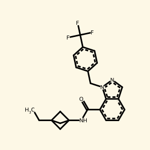 CCC12CC(NC(=O)c3cccc4cnn(Cc5ccc(C(F)(F)F)cc5)c34)(C1)C2